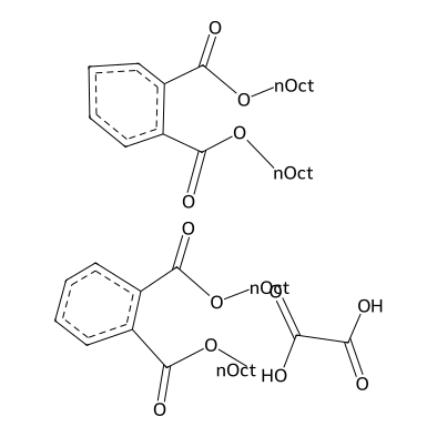 CCCCCCCCOC(=O)c1ccccc1C(=O)OCCCCCCCC.CCCCCCCCOC(=O)c1ccccc1C(=O)OCCCCCCCC.O=C(O)C(=O)O